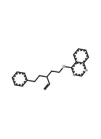 C=CC(CCOc1ncnc2ccccc12)CCc1ccccc1